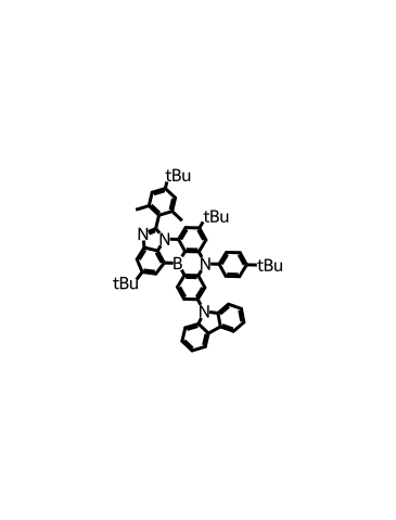 Cc1cc(C(C)(C)C)cc(C)c1-c1nc2cc(C(C)(C)C)cc3c2n1-c1cc(C(C)(C)C)cc2c1B3c1ccc(-n3c4ccccc4c4ccccc43)cc1N2c1ccc(C(C)(C)C)cc1